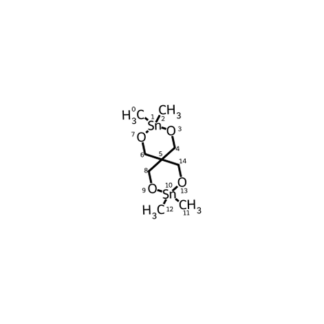 [CH3][Sn]1([CH3])[O]CC2(C[O]1)C[O][Sn]([CH3])([CH3])[O]C2